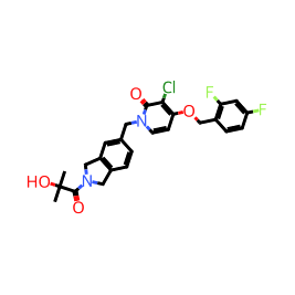 CC(C)(O)C(=O)N1Cc2ccc(Cn3ccc(OCc4ccc(F)cc4F)c(Cl)c3=O)cc2C1